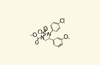 COC(=O)N1CC(c2cccc(OC)c2)N(c2ccc(Cl)cc2)S1(=O)=O